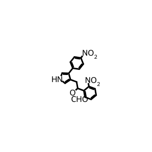 O=COC(Cc1c[nH]cc1-c1ccc([N+](=O)[O-])cc1)c1ccccc1[N+](=O)[O-]